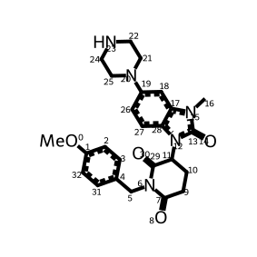 COc1ccc(CN2C(=O)CCC(n3c(=O)n(C)c4cc(N5CCNCC5)ccc43)C2=O)cc1